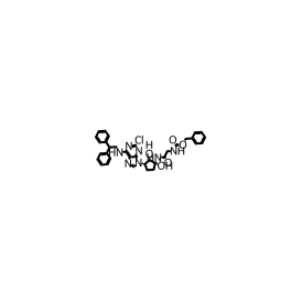 O=C(CNC(=O)OCc1ccccc1)N[C@]1(O)CC[C@@H](n2cnc3c(NCC(c4ccccc4)c4ccccc4)nc(Cl)nc32)[C@@H]1O